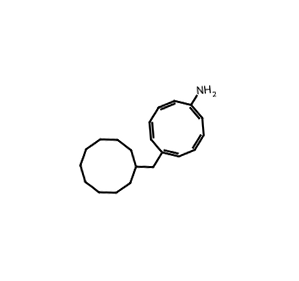 Nc1ccccc(CC2CCCCCCCCC2)cccc1